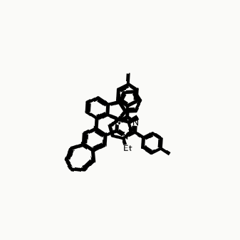 C=C1CC(CC)CCC12c1ccccc1-c1cccc(-c3cc4c(cc3-c3nc(-c5ccc(C)cc5)nc(-c5ccc(C)cc5)n3)C=CCC=C4)c12